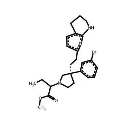 CCC(C(=O)OC)N1CC[C@](CCc2ccc3c(n2)NCCC3)(c2cccc(Br)c2)C1